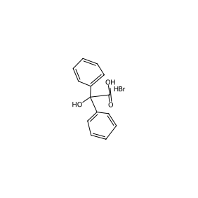 Br.O=C(O)C(O)(c1ccccc1)c1ccccc1